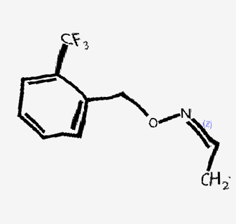 [CH2]/C=N\OCc1ccccc1C(F)(F)F